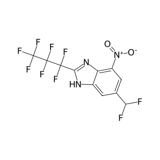 O=[N+]([O-])c1cc(C(F)F)cc2[nH]c(C(F)(F)C(F)(F)C(F)(F)F)nc12